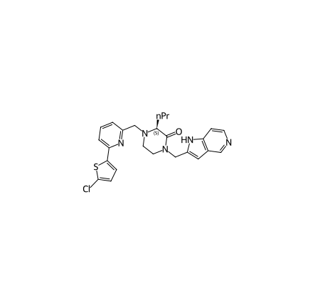 CCC[C@H]1C(=O)N(Cc2cc3cnccc3[nH]2)CCN1Cc1cccc(-c2ccc(Cl)s2)n1